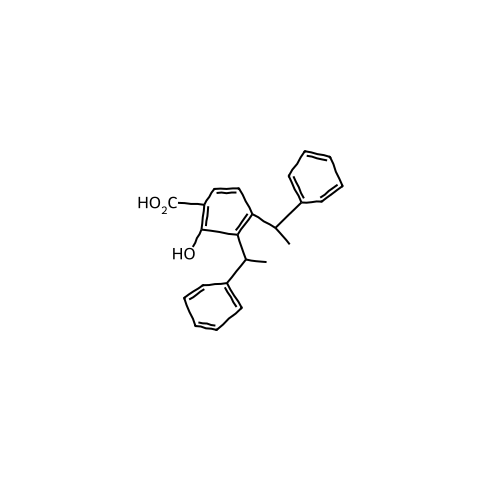 CC(c1ccccc1)c1ccc(C(=O)O)c(O)c1C(C)c1ccccc1